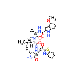 COc1cccc2[nH]c(C(=O)N[C@H](C(=O)N3C[C@H]4[C@@H]([C@H]3C(=O)N[C@@H](C[C@@H]3CCNC3=O)C(=O)c3nc5ccccc5s3)C4(C)C)C3CC3)cc12